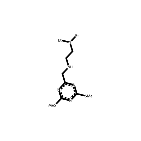 CCN(CC)CCNCc1nc(SC)nc(SC)n1